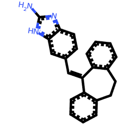 Nc1nc2ccc(C=C3c4ccccc4CCc4ccccc43)cc2[nH]1